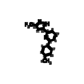 Cc1ccc(-c2cncc(-c3cc(C(F)(F)F)n[nH]3)n2)cc1